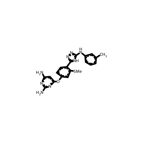 CSc1cc(Oc2cc(N)nc(N)n2)ccc1-c1nnc(Nc2cccc(C)c2)[nH]1